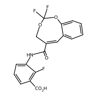 O=C(Nc1cccc(C(=O)O)c1F)C1=Cc2ccccc2OC(F)(F)OC1